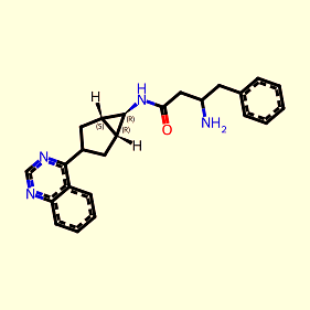 NC(CC(=O)N[C@H]1[C@@H]2CC(c3ncnc4ccccc34)C[C@@H]21)Cc1ccccc1